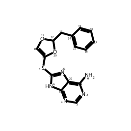 Nc1ncnc2[nH]c(SC3=COC(Cc4ccccc4)O3)nc12